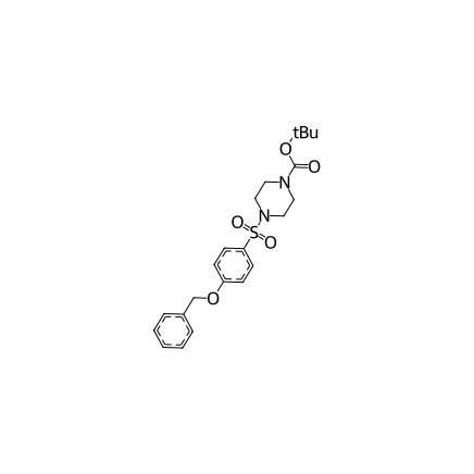 CC(C)(C)OC(=O)N1CCN(S(=O)(=O)c2ccc(OCc3ccccc3)cc2)CC1